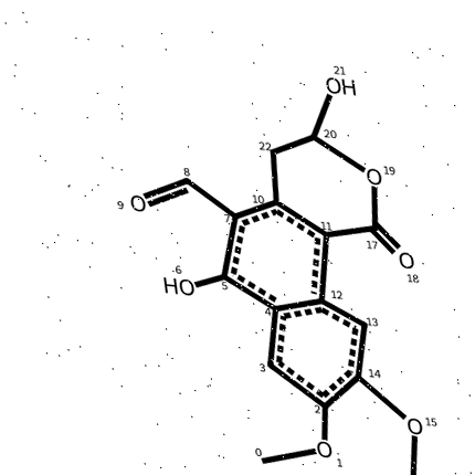 COc1cc2c(O)c(C=O)c3c(c2cc1OC)C(=O)OC(O)C3